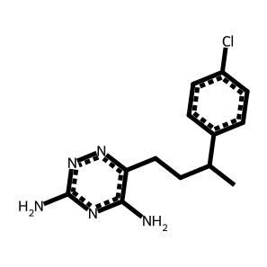 CC(CCc1nnc(N)nc1N)c1ccc(Cl)cc1